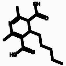 CCCCCC1C(C(=O)O)=C(C)N=C(C)C1C(=O)O